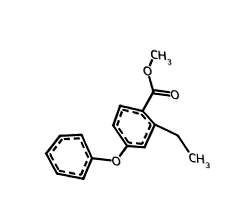 CCc1cc(Oc2ccccc2)ccc1C(=O)OC